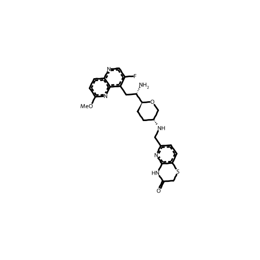 COc1ccc2ncc(F)c(C[C@H](N)[C@@H]3CC[C@@H](NCc4ccc5c(n4)NC(=O)CS5)CO3)c2n1